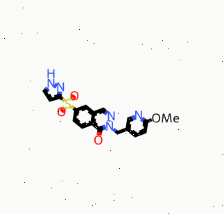 COc1ccc(Cn2ncc3cc(S(=O)(=O)c4cc[nH]n4)ccc3c2=O)cn1